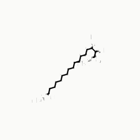 CCCCOC(=O)CCCCCCCCCCCCCC(C)C(C)C(=O)OCCCC